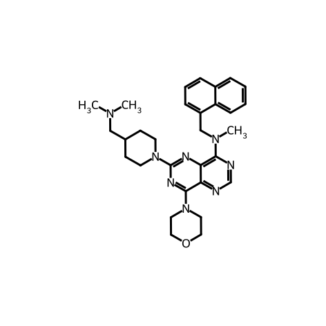 CN(C)CC1CCN(c2nc(N3CCOCC3)c3ncnc(N(C)Cc4cccc5ccccc45)c3n2)CC1